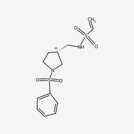 C=CS(=O)(=O)NC[C@H]1CCN(S(=O)(=O)c2ccccc2)C1